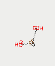 O=C(O)CCCCCCCCCSc1ccccc1SCCCCCC(=O)O